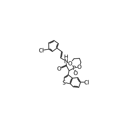 O=C(N/C=C/c1cccc(Cl)c1)C(c1csc2ccc(Cl)cc12)P1(=O)OCCCO1